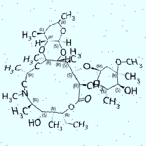 CC[C@H]1OC(=O)[C@H](C)[C@@H](O[C@H]2C[C@@](C)(OC)[C@@H](O)[C@H](C)O2)[C@H](C)[C@H]2O[C@@H]3O[C@H](C)C[C@H](C)[C@H]3O[C@]2(C)C[C@@H](C)CN(C)[C@H](C)[C@@H](O)[C@H]1C